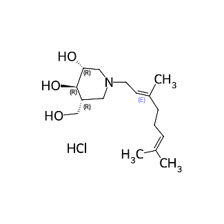 CC(C)=CCC/C(C)=C/CN1C[C@H](CO)[C@@H](O)[C@H](O)C1.Cl